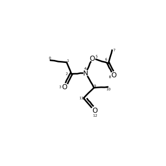 CCC(=O)N(OC(C)=O)C(C)[C]=O